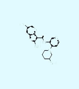 CC(C)c1cnc2c(C(=O)Nc3cnccc3N3CCCC(N)C3)c(N)oc2c1